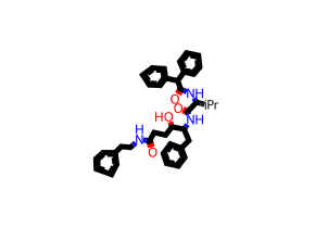 CC(C)C(NC(=O)C(c1ccccc1)c1ccccc1)C(=O)NC(Cc1ccccc1)C(O)CCC(=O)NCCc1ccccc1